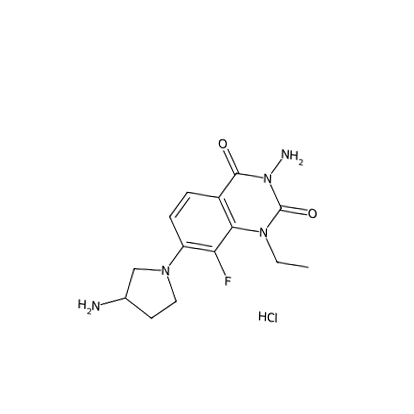 CCn1c(=O)n(N)c(=O)c2ccc(N3CCC(N)C3)c(F)c21.Cl